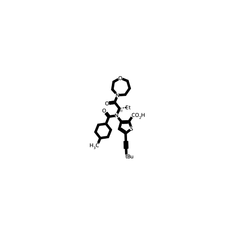 CC[C@@H](C(=O)N1CCCOCC1)N(C(=O)C1CCC(C)CC1)c1cc(C#CC(C)(C)C)sc1C(=O)O